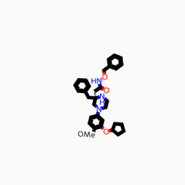 COc1ccc(N2CCN[C@](CC(=O)NOCc3ccccc3)(Cc3ccccc3)C2)cc1OC1CCCC1